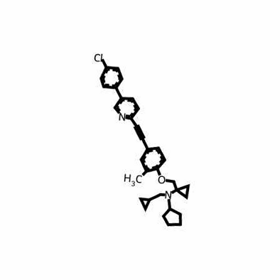 Cc1cc(C#Cc2ccc(-c3ccc(Cl)cc3)cn2)ccc1OCC1(N(CC2CC2)C2CCCC2)CC1